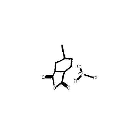 CC1CCC2C(=O)OC(=O)C2C1.[Cl][Cr]([Cl])[Cl]